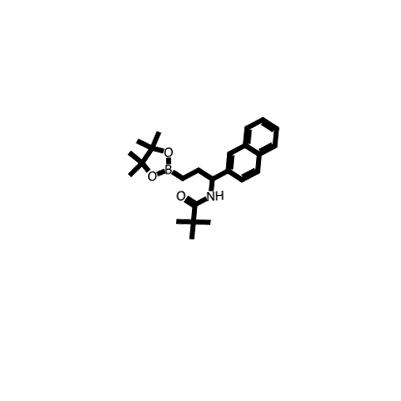 CC(C)(C)C(=O)NC(CCB1OC(C)(C)C(C)(C)O1)c1ccc2ccccc2c1